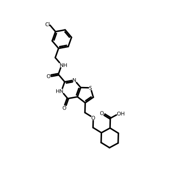 O=C(NCc1cccc(Cl)c1)c1nc2scc(COCC3CCCCC3C(=O)O)c2c(=O)[nH]1